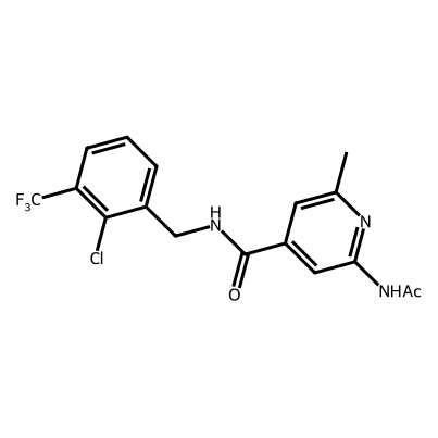 CC(=O)Nc1cc(C(=O)NCc2cccc(C(F)(F)F)c2Cl)cc(C)n1